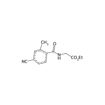 CCOC(=O)CNC(=O)c1ccc(C#N)cc1C